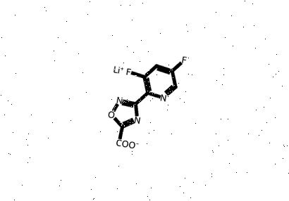 O=C([O-])c1nc(-c2ncc(F)cc2F)no1.[Li+]